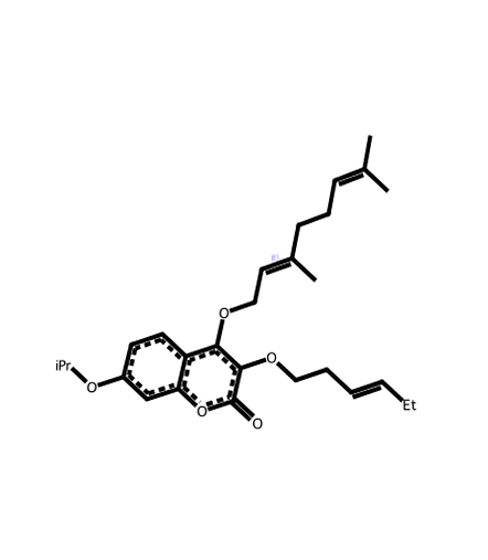 CCC=CCCOc1c(OC/C=C(\C)CCC=C(C)C)c2ccc(OC(C)C)cc2oc1=O